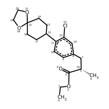 CCOC(=O)[C@@H](C)Cc1ccc(C2CCC3(CC2)OCCO3)c(Cl)c1